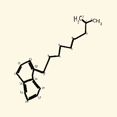 CC(C)CCCCCCCc1cccc2ccccc12